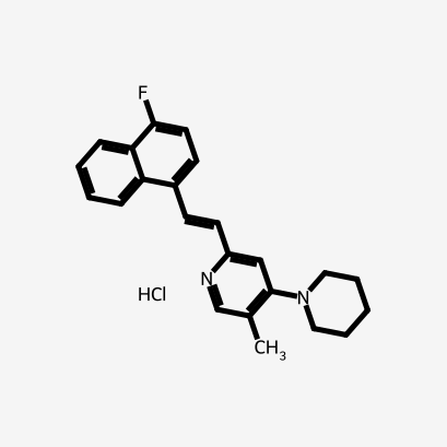 Cc1cnc(/C=C/c2ccc(F)c3ccccc23)cc1N1CCCCC1.Cl